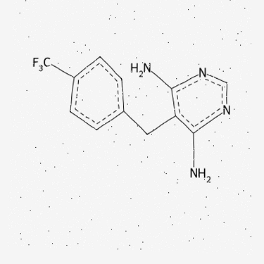 Nc1ncnc(N)c1Cc1ccc(C(F)(F)F)cc1